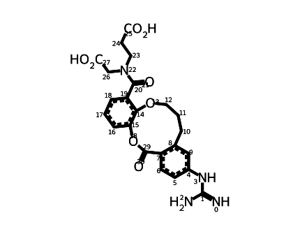 N=C(N)Nc1ccc2c(c1)CCCOc1c(cccc1C(=O)N(CCC(=O)O)CC(=O)O)OC2=O